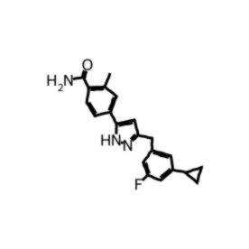 Cc1cc(-c2cc(Cc3cc(F)cc(C4CC4)c3)n[nH]2)ccc1C(N)=O